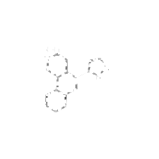 [NaH].c1ccc2c(c1)cc(-c1cc[nH]n1)c1ccncc12